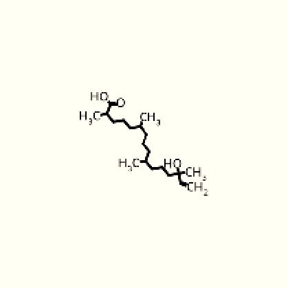 C=CC(C)(O)CCCC(C)CCCC(C)CCCC(C)C(=O)O